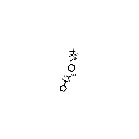 CC(C)(C)S(=O)(=O)NC[C@H]1CC[C@H](Nc2nc(C3CCCC3)no2)CC1